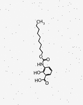 CCCCCCCCCOC(=O)Nc1cccc(C(=O)O)c1O